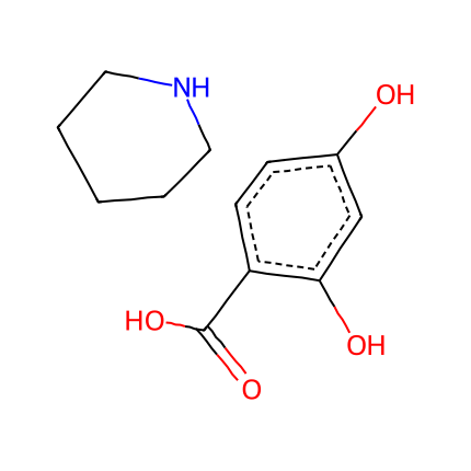 C1CCNCC1.O=C(O)c1ccc(O)cc1O